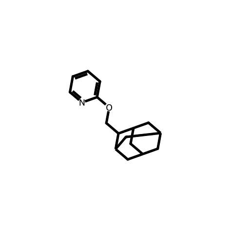 c1ccc(OCC2C3CC4CC(C3)CC2C4)nc1